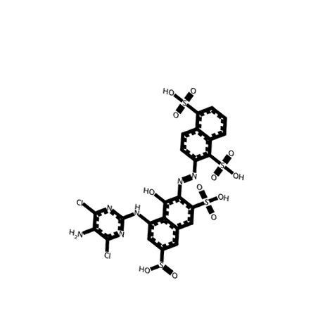 Nc1c(Cl)nc(Nc2cc(S(=O)O)cc3cc(S(=O)(=O)O)c(/N=N/c4ccc5c(S(=O)(=O)O)cccc5c4S(=O)(=O)O)c(O)c23)nc1Cl